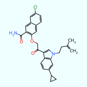 C=C(C)CCn1cc(C(=O)COc2cc3ccc(Cl)cc3cc2C(N)=O)c2ccc(C3CC3)cc21